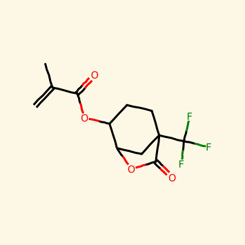 C=C(C)C(=O)OC1CCC2(C(F)(F)F)CC1OC2=O